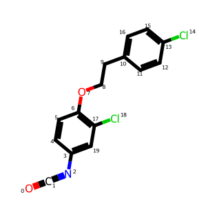 O=C=Nc1ccc(OCCc2ccc(Cl)cc2)c(Cl)c1